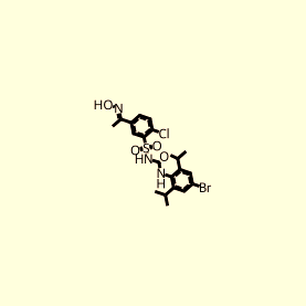 C/C(=N\O)c1ccc(Cl)c(S(=O)(=O)NC(=O)Nc2c(C(C)C)cc(Br)cc2C(C)C)c1